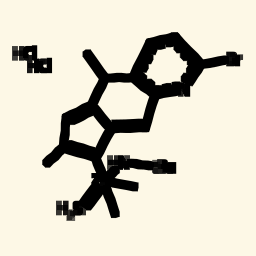 CC1=[C]([Zr]([CH3])([CH3])(=[SiH2])[NH]C(C)(C)C)C2=Cc3nc(Br)ccc3C(C)C2=C1.Cl.Cl